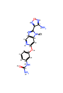 CCn1c(-c2nonc2N)nc2cnc(Oc3cccc(NC(N)=O)c3)cc21